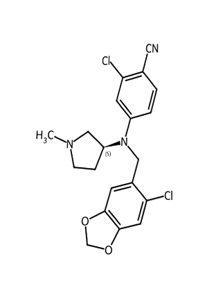 CN1CC[C@H](N(Cc2cc3c(cc2Cl)OCO3)c2ccc(C#N)c(Cl)c2)C1